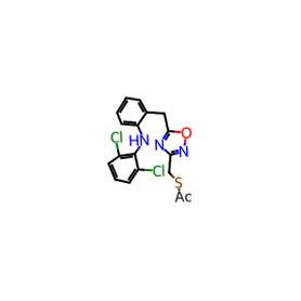 CC(=O)SCc1noc(Cc2ccccc2Nc2c(Cl)cccc2Cl)n1